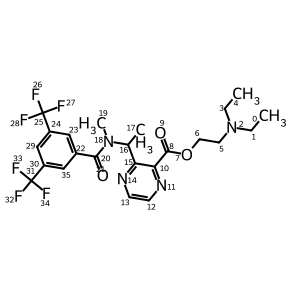 CCN(CC)CCOC(=O)c1nccnc1C(C)N(C)C(=O)c1cc(C(F)(F)F)cc(C(F)(F)F)c1